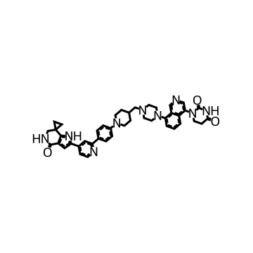 O=C1CCN(c2cncc3c(N4CCN(CC5CCN(c6ccc(-c7cc(-c8cc9c([nH]8)C8(CC8)CNC9=O)ccn7)cc6)CC5)CC4)cccc23)C(=O)N1